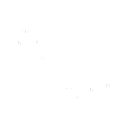 CCC(=O)OC(Cc1ccccc1)(c1ccccc1)C(C)CN(C)C.CN1CCCC1